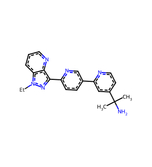 CCn1nc(-c2ccc(-c3cc(C(C)(C)N)ccn3)cn2)c2ncccc21